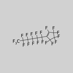 FC1=C(C(F)(F)C(F)(F)C(F)(F)C(F)(F)C(F)(F)C(F)(F)F)C(F)(F)C(F)(F)C1(F)F